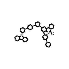 O=c1c2ccccc2c2cc(-c3cccc(-c4ccc(-c5cccc(-n6c7ccccc7c7ccccc76)c5)cc4)c3)cc3c4ccc(-c5ccccc5)cc4n1c23